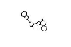 O=C1NCC2(CCNCC2)c2[nH]c(-c3nc(-c4cc5ccccc5o4)ncc3F)cc21